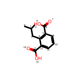 CC(C)Cc1c(C(=O)O)cccc1C(=O)O